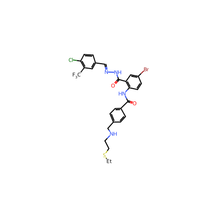 CCSCCNCc1ccc(C(=O)Nc2ccc(Br)cc2C(=O)N/N=C/c2ccc(Cl)c(C(F)(F)F)c2)cc1